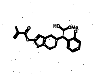 C=C(C)C(=O)Oc1cc2c(s1)CCN([C@@H](c1ccccc1Cl)C(O)OC)C2